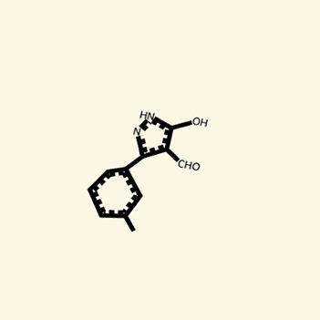 Cc1cccc(-c2n[nH]c(O)c2C=O)c1